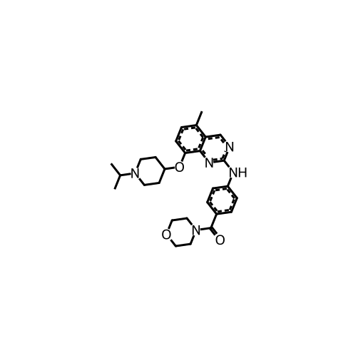 Cc1ccc(OC2CCN(C(C)C)CC2)c2nc(Nc3ccc(C(=O)N4CCOCC4)cc3)ncc12